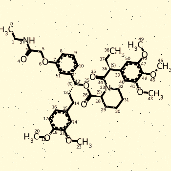 CCNC(=O)COc1cccc([C@@H](CCc2ccc(OC)c(OC)c2)OC(=O)[C@@H]2CCCCN2C(=O)[C@@H](CC)c2cc(OC)c(OC)c(OC)c2)c1